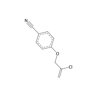 C=C(Cl)COc1ccc(C#N)cc1